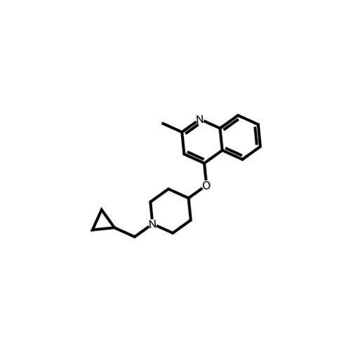 Cc1cc(OC2CCN(CC3CC3)CC2)c2ccccc2n1